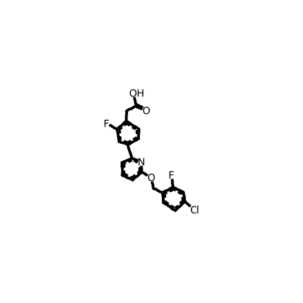 O=C(O)Cc1ccc(-c2cccc(OCc3ccc(Cl)cc3F)n2)cc1F